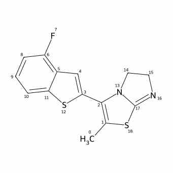 CC1=C(c2cc3c(F)cccc3s2)N2CCN=C2S1